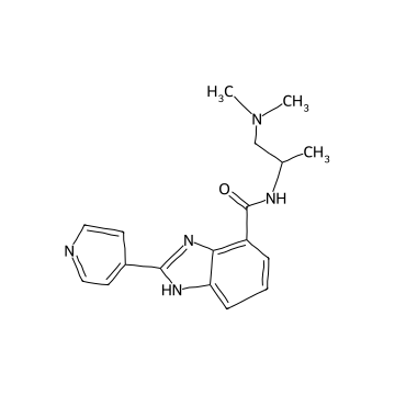 CC(CN(C)C)NC(=O)c1cccc2[nH]c(-c3ccncc3)nc12